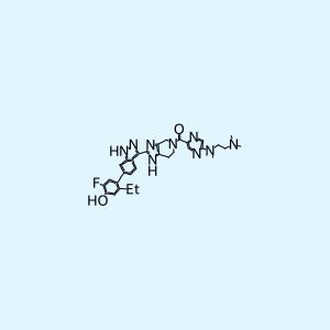 CCc1cc(O)c(F)cc1-c1ccc2c(-c3nc4c([nH]3)CCN(C(=O)c3cnc(N(C)CCN(C)C)cn3)C4)n[nH]c2c1